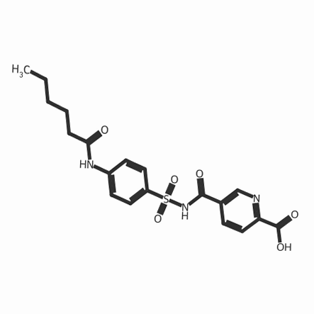 CCCCCC(=O)Nc1ccc(S(=O)(=O)NC(=O)c2ccc(C(=O)O)nc2)cc1